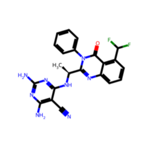 C[C@H](Nc1nc(N)nc(N)c1C#N)c1nc2cccc(C(F)F)c2c(=O)n1-c1ccccc1